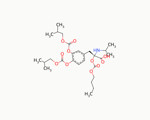 CCCCOC(=O)O[C@](Cc1ccc(OC(=O)OCC(C)C)c(OC(=O)OCC(C)C)c1)(NC(C)C)C(=O)O